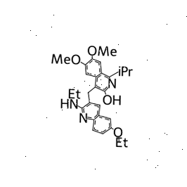 CCNc1nc2ccc(OCC)cc2cc1Cc1c(O)nc(C(C)C)c2cc(OC)c(OC)cc12